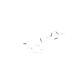 CC1CCC(CC(=O)OC(C)(C)C)CC1C1=CCC(c2ccc(Cl)cc2)S1